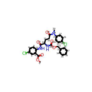 COC(=O)c1cc(Cl)ccc1NC(=O)C(CCC(=O)N(C)c1ccc(Cl)cc1)NC(=O)OCc1ccccc1